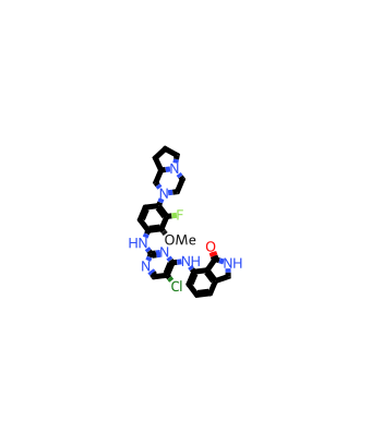 COc1c(Nc2ncc(Cl)c(Nc3cccc4c3C(=O)NC4)n2)ccc(N2CCN3CCCC3C2)c1F